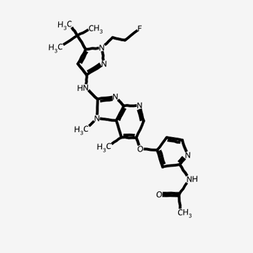 CC(=O)Nc1cc(Oc2cnc3nc(Nc4cc(C(C)(C)C)n(CCF)n4)n(C)c3c2C)ccn1